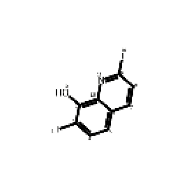 Oc1c(I)ccc2ccc(I)nc12